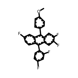 COc1ccc(-c2c3cc(F)ccc3c(-c3ccc(F)cc3F)c3cc(F)c(F)cc23)cc1